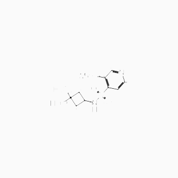 COc1cnccc1S(=O)(=O)NC1CC(C)(C)C1